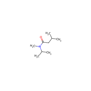 CC(C)CC(=O)N(C)C(C)C